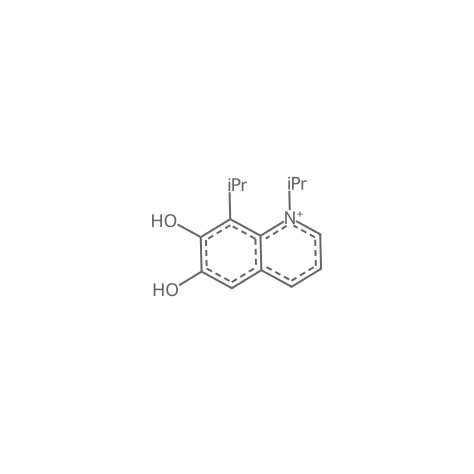 CC(C)c1c(O)c(O)cc2ccc[n+](C(C)C)c12